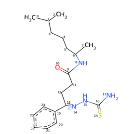 CC(C)CCCC(C)NC(=O)CC/C(=N\NC(N)=S)c1ccccc1